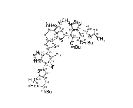 C=C=C=CC(CCCCCC)Cc1cc(-c2c(F)c(F)c(-c3cc(CC(CCCC)CCCCCC)c(C)s3)c3nsnc23)sc1-c1ccc(-c2c(OCCCC)c(OCCCC)c(-c3ccc(C)s3)c3nsnc23)s1